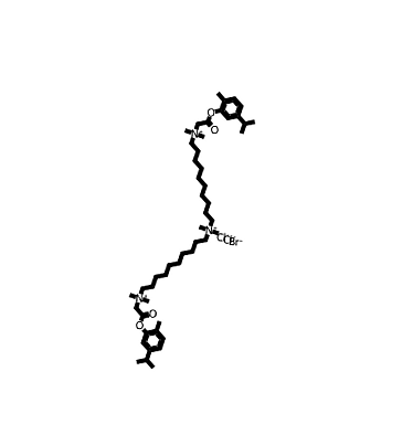 Cc1ccc(C(C)C)cc1OC(=O)C[N+](C)(C)CCCCCCCCCC[N+](C)(C)CCCCCCCCCC[N+](C)(C)CC(=O)Oc1cc(C(C)C)ccc1C.[Br-].[Cl-].[Cl-]